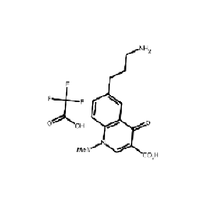 CNn1cc(C(=O)O)c(=O)c2cc(CCCN)ccc21.O=C(O)C(F)(F)F